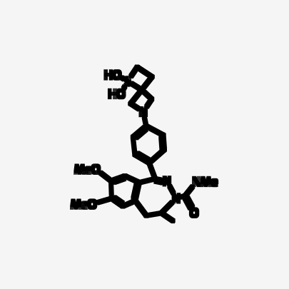 CNC(=O)N1N=C(c2ccc(N3CC4(CCS4(O)O)C3)cc2)c2cc(OC)c(OC)cc2CC1C